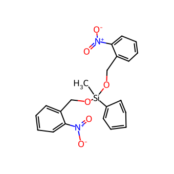 C[Si](OCc1ccccc1[N+](=O)[O-])(OCc1ccccc1[N+](=O)[O-])c1ccccc1